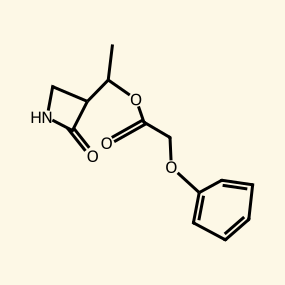 CC(OC(=O)COc1ccccc1)C1CNC1=O